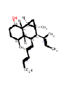 C/C=C(\C)[C@H]1[C@@H](/C=C/C=C/C(=O)O)[C@H]2[C@@H]([C@H]3C[C@]31C)[C@@H](O)CC[C@@H]2C